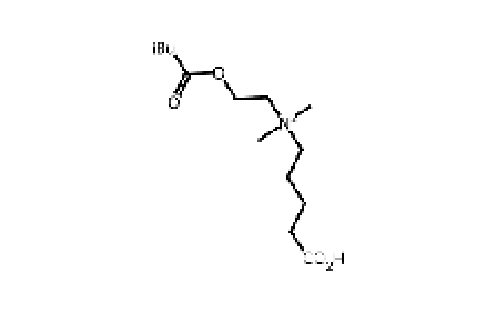 CCC(C)C(=O)OCC[N+](C)(C)CCCCC(=O)O